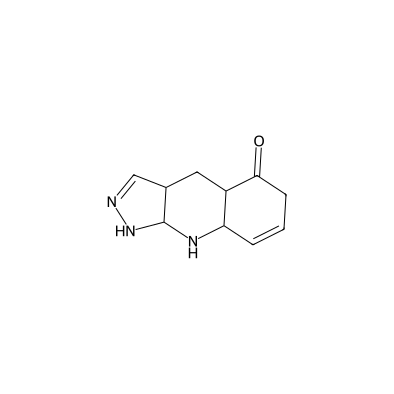 O=C1CC=CC2NC3NN=CC3CC12